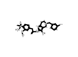 C=C(Cc1ccc([SH](C)(N)=O)c(OCC)c1)Nc1sc2c(c1C#N)CN(Cc1cccc(F)c1)CC2